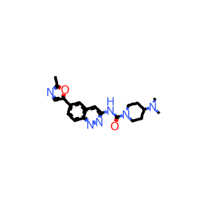 Cc1ncc(-c2ccc3nnc(NC(=O)N4CCC(N(C)C)CC4)cc3c2)o1